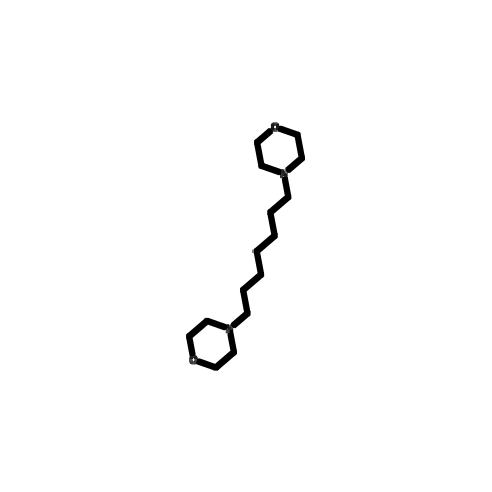 [CH](CCCN1CCOCC1)CCCN1CCOCC1